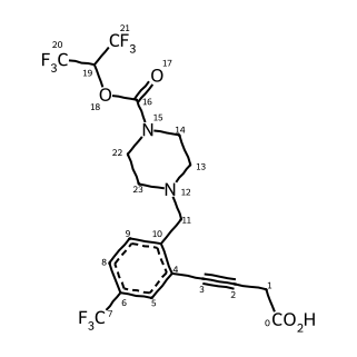 O=C(O)CC#Cc1cc(C(F)(F)F)ccc1CN1CCN(C(=O)OC(C(F)(F)F)C(F)(F)F)CC1